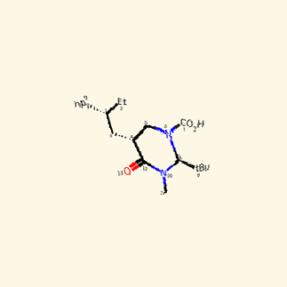 CCC[C@H](CC)C[C@@H]1CN(C(=O)O)[C@@H](C(C)(C)C)N(C)C1=O